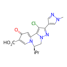 CC(C)[C@@H]1Cn2nc(-c3cnn(C)c3)c(Cl)c2-c2cc(=O)c(C(=O)O)cn21